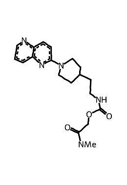 CNC(=O)COC(=O)NCCC1CCN(c2ccc3ncccc3n2)CC1